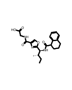 CC[C@H](C)[C@H](NC(=O)C1CCCc2ccccc21)c1nc(C(=O)NCC(=O)O)co1